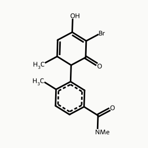 CNC(=O)c1ccc(C)c(C2C(=O)C(Br)=C(O)C=C2C)c1